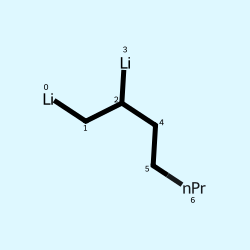 [Li][CH2][CH]([Li])CCCCC